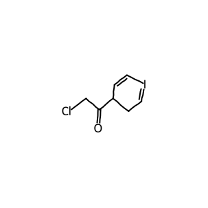 O=C(CCl)C1C=CI=CC1